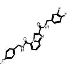 O=C(O)c1ccc(CNC(=O)c2cccc3nc(C(=O)NCc4ccc(F)c(F)c4)cn23)cc1